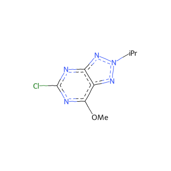 COc1nc(Cl)nc2nn(C(C)C)nc12